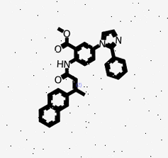 COC(=O)c1cc(-n2ccnc2-c2ccccc2)ccc1NC(=O)/C=C(/C)c1ccc2ccccc2c1